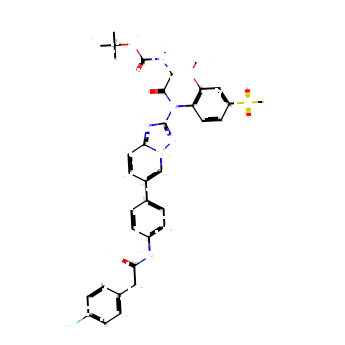 COc1cc(S(C)(=O)=O)ccc1N(C(=O)CN(C)C(=O)OC(C)(C)C)c1nc2ccc(-c3ccc(NC(=O)Cc4ccc(F)cc4)cc3)cn2n1